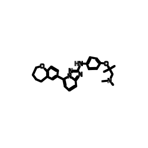 CN(C)CC(C)(C)Oc1ccc(Nc2nc3cccc(-c4ccc5c(c4)CCCCO5)n3n2)cc1